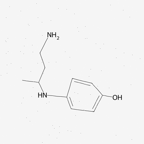 CC(CCN)Nc1ccc(O)cc1